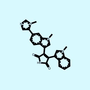 Cn1cncc1-c1ccc2c(C3=C(c4cn(C)c5ccccc45)C(=O)NC3=O)cn(C)c2c1